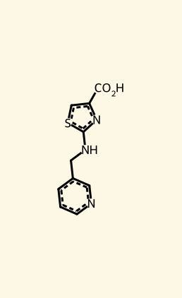 O=C(O)c1csc(NCc2cccnc2)n1